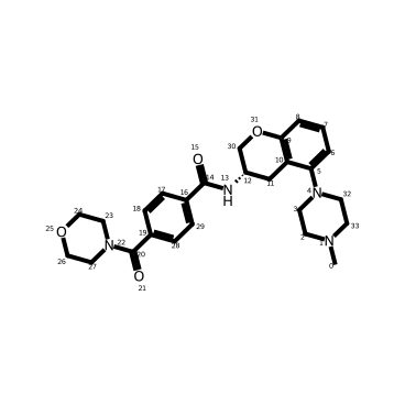 CN1CCN(c2cccc3c2C[C@H](NC(=O)c2ccc(C(=O)N4CCOCC4)cc2)CO3)CC1